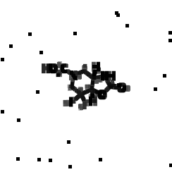 O=C1N[C@H]2CN(C(=O)O)CC(F)(F)[C@H]2O1